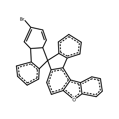 BrC1=CC2c3ccccc3C3(c4ccccc4-c4c3ccc3oc5ccccc5c43)C2C=C1